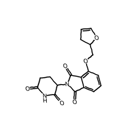 O=C1CCC(N2C(=O)c3cccc(OCC4CC=CO4)c3C2=O)C(=O)N1